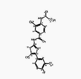 CCC(Nc1ncc(C(=O)Nc2nc(-c3ccc(F)c(C(F)(F)F)c3)c(Cl)s2)cc1Cl)C(=O)O